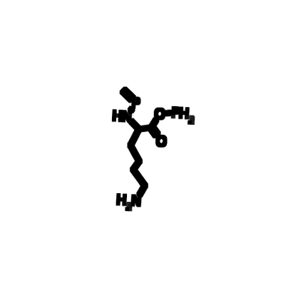 C=PNC(CCCCN)C(=O)OP